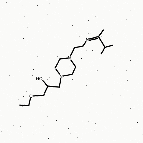 CCOCC(O)CN1CCN(CCN=C(C)C(C)C)CC1